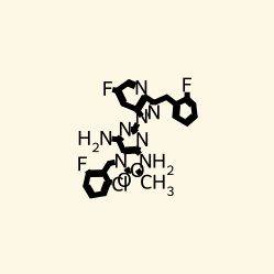 COC(=O)N(Cc1c(F)cccc1Cl)c1c(N)nc(-n2nc(Cc3ccccc3F)c3ncc(F)cc32)nc1N